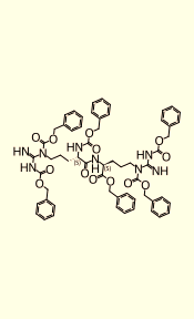 N=C(NC(=O)OCc1ccccc1)N(CCC[C@H](NC(=O)OCc1ccccc1)C(=O)N[C@@H](CCCN(C(=N)NC(=O)OCc1ccccc1)C(=O)OCc1ccccc1)C(=O)OCc1ccccc1)C(=O)OCc1ccccc1